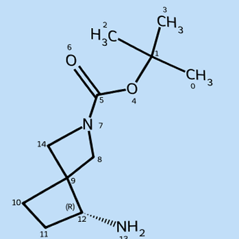 CC(C)(C)OC(=O)N1CC2(CC[C@H]2N)C1